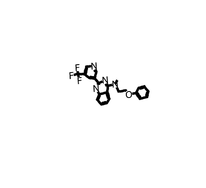 CN(CCOc1ccccc1)c1nc(-c2cncc(C(F)(F)F)c2)nc2ccccc12